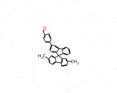 Cc1ccc2c(c1)C1(c3ccccc3-c3cc(-c4ccc(C=O)cc4)ccc31)c1cc(C)ccc1-2